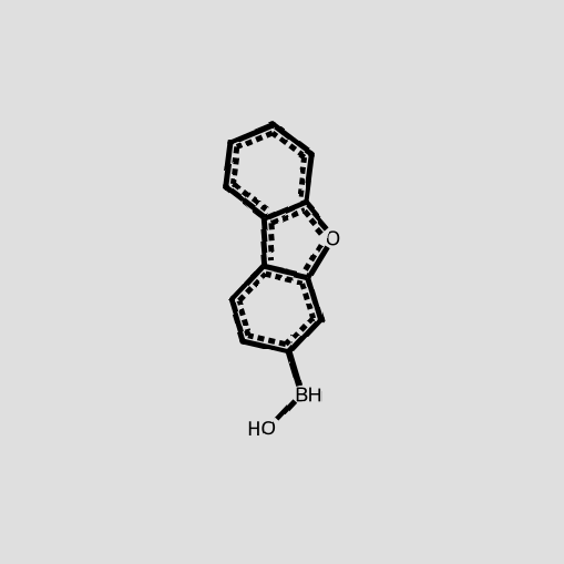 OBc1ccc2c(c1)oc1ccccc12